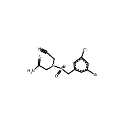 N#CCN(CC(N)=S)S(=O)(=O)Cc1cc(Cl)cc(Br)c1